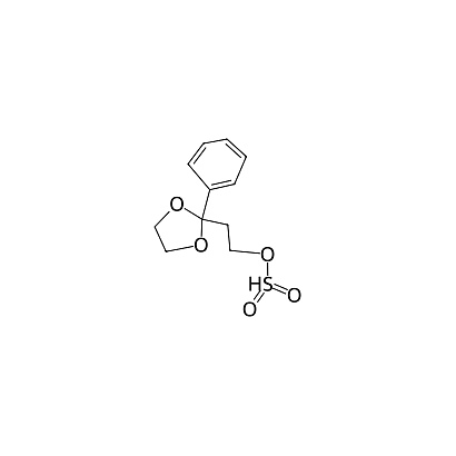 O=[SH](=O)OCCC1(c2ccccc2)OCCO1